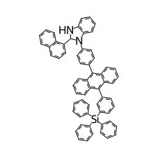 c1ccc([Si](c2ccccc2)(c2ccccc2)c2cccc(-c3c4ccccc4c(-c4ccc(N5c6ccccc6NC5c5cccc6ccccc56)cc4)c4ccccc34)c2)cc1